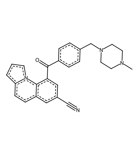 CN1CCN(Cc2ccc(C(=O)c3cc(C#N)cc4ccc5cccn5c34)cc2)CC1